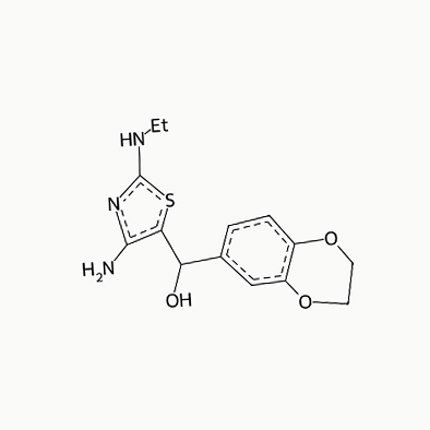 CCNc1nc(N)c(C(O)c2ccc3c(c2)OCCO3)s1